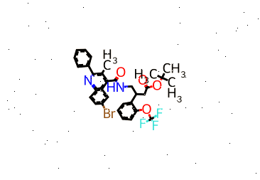 Cc1c(-c2ccccc2)nc2ccc(Br)cc2c1C(=O)NCC(CC(=O)OC(C)(C)C)c1ccccc1OC(F)(F)F